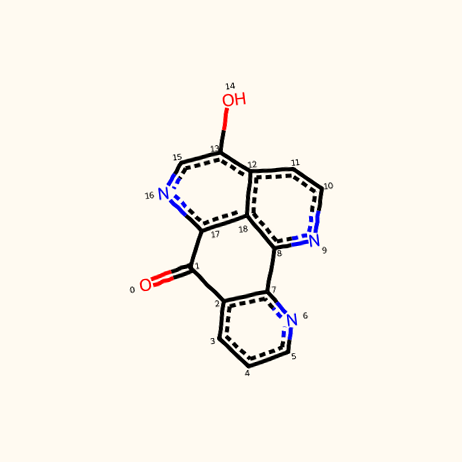 O=C1c2cccnc2-c2nccc3c(O)cnc1c23